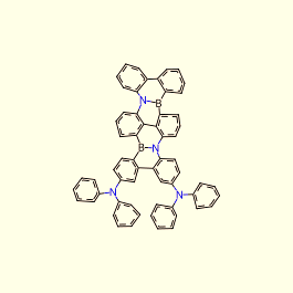 c1ccc(N(c2ccccc2)c2ccc3c(c2)-c2cc(N(c4ccccc4)c4ccccc4)ccc2N2B3c3cccc4c3-c3c(cccc32)B2c3ccccc3-c3ccccc3N24)cc1